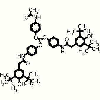 CC(=O)Nc1ccc(OP(Oc2ccc(NC(=O)Cc3cc(C(C)(C)C)c(O)c(C(C)(C)C)c3)cc2)Oc2ccc(NC(=O)Cc3cc(C(C)(C)C)c(O)c(C(C)(C)C)c3)cc2)cc1